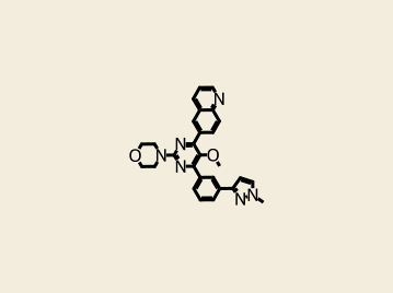 COc1c(-c2cccc(-c3ccn(C)n3)c2)nc(N2CCOCC2)nc1-c1ccc2ncccc2c1